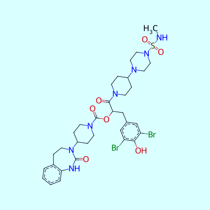 CNS(=O)(=O)N1CCN(C2CCN(C(=O)C(Cc3cc(Br)c(O)c(Br)c3)OC(=O)N3CCC(N4CCc5ccccc5NC4=O)CC3)CC2)CC1